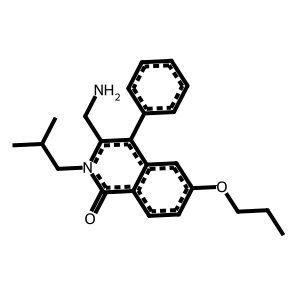 CCCOc1ccc2c(=O)n(CC(C)C)c(CN)c(-c3ccccc3)c2c1